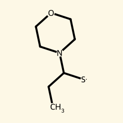 CCC([S])N1CCOCC1